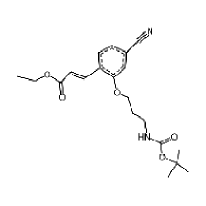 CCOC(=O)C=Cc1ccc(C#N)cc1OCCCNC(=O)OC(C)(C)C